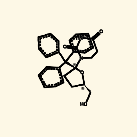 O=C1CCN([C@@]2(C(c3ccccc3)(c3ccccc3)c3ccccc3)CC[C@@H](CO)O2)C(=O)N1